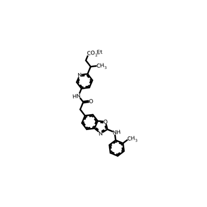 CCOC(=O)CC(C)c1ccc(NC(=O)Cc2ccc3nc(Nc4ccccc4C)oc3c2)cn1